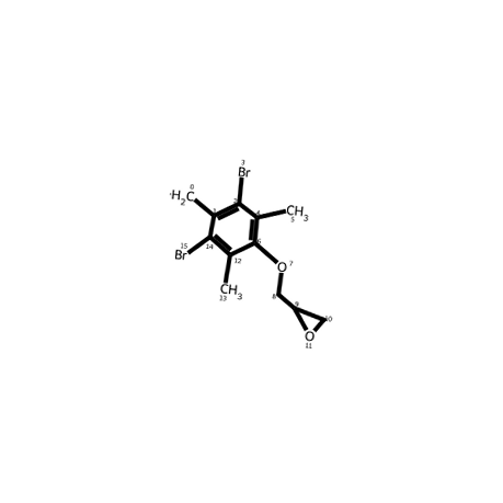 [CH2]c1c(Br)c(C)c(OCC2CO2)c(C)c1Br